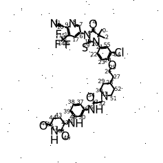 CC1(C)C(=O)N(c2cnc(C#N)c(C(F)(F)F)c2)C(=S)N1c1ccc(OCCC2CCN(CC(=O)Nc3cccc(NC4CCC(=O)NC4=O)c3)CC2)c(Cl)c1